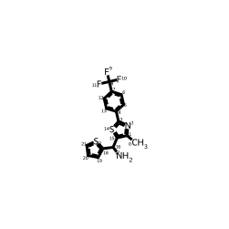 Cc1nc(-c2ccc(C(F)(F)F)cc2)sc1C(N)c1cccs1